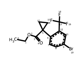 CCOC(=O)C1(c2ccc(Br)cc2C(F)(F)F)CC1